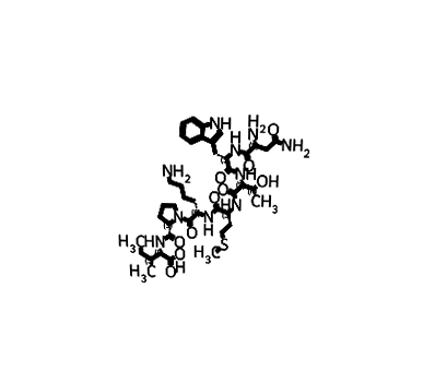 CC[C@H](C)[C@H](NC(=O)[C@@H]1CCCN1C(=O)[C@H](CCCCN)NC(=O)[C@H](CCSC)NC(=O)[C@@H](NC(=O)[C@H](Cc1c[nH]c2ccccc12)NC(=O)[C@@H](N)CC(N)=O)[C@@H](C)O)C(=O)O